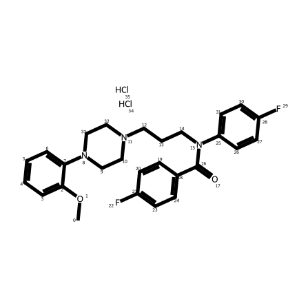 COc1ccccc1N1CCN(CCCN(C(=O)c2ccc(F)cc2)c2ccc(F)cc2)CC1.Cl.Cl